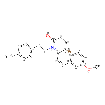 O=Cc1ccc(CCn2c(/C=C\c3cccc(OC(F)(F)F)c3)c(Br)ccc2=O)cc1